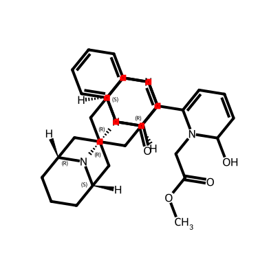 COC(=O)CN1C(c2nc3ccccc3n([C@H]3C[C@H]4CCC[C@@H](C3)N4[C@H]3C[C@@H]4CCC[C@@H](C4)C3)c2=O)=CC=CC1O